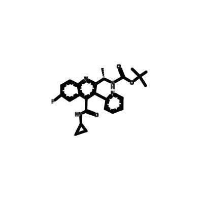 C[C@H](NC(=O)OC(C)(C)C)c1nc2ccc(F)cc2c(C(=O)NC2CC2)c1-c1ccccn1